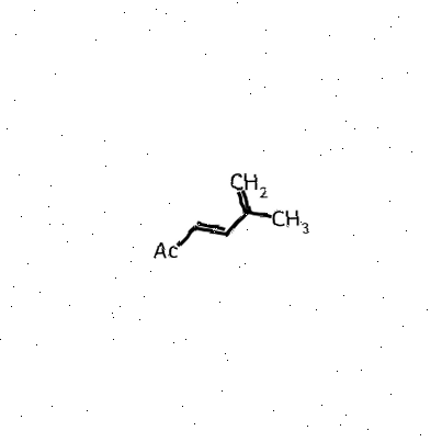 C=C(C)/C=C/C(C)=O